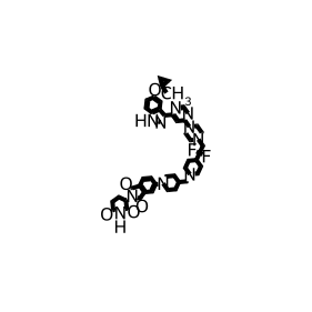 CC1(Oc2ccc3[nH]nc(-c4cc(N5CCN(CC(F)(F)C6CCN(CC7CCN(c8ccc9c(c8)C(=O)N(C8CCC(=O)NC8=O)C9=O)CC7)CC6)CC5)ncn4)c3c2)CC1